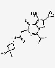 CC(C)c1nn(CC(=O)N[C@H]2C[C@@](C)(O)C2)c(=O)c2c(N)c(C3CC3)nn12